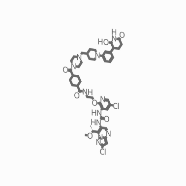 CO[C@H](C)c1c(NC(=O)Nc2cc(Cl)cnc2OCCNC(=O)C2CCC(C(=O)N3CCN(CC4CCN(c5cccc(C6CCC(=O)NC6O)c5)CC4)CC3)CC2)cnc2cc(Cl)nn12